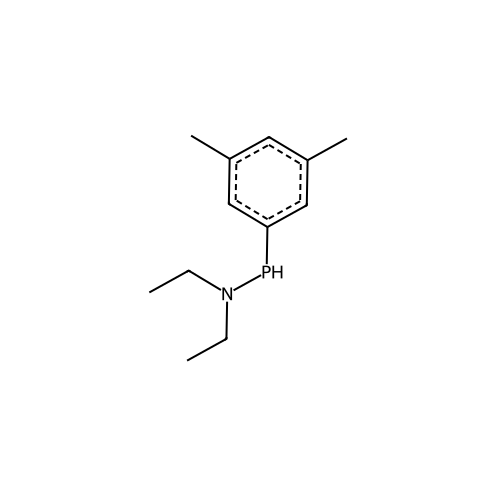 CCN(CC)Pc1cc(C)cc(C)c1